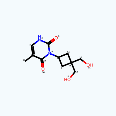 Cc1c[nH]c(=O)n(C2CC(CO)(CO)C2)c1=O